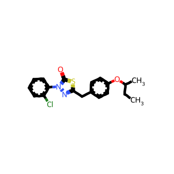 CCC(C)Oc1ccc(Cc2nn(-c3ccccc3Cl)c(=O)s2)cc1